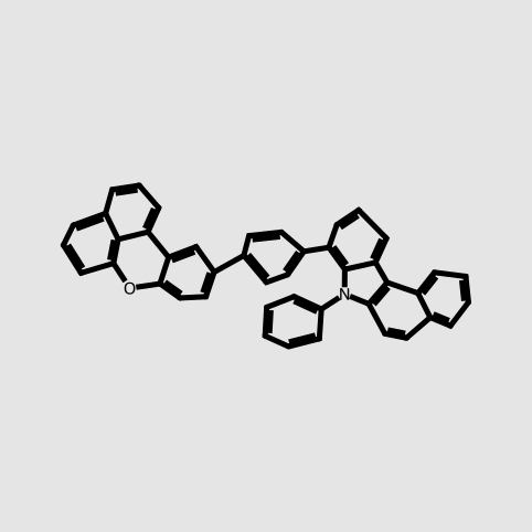 c1ccc(-n2c3ccc4ccccc4c3c3cccc(-c4ccc(-c5ccc6c(c5)-c5cccc7cccc(c57)O6)cc4)c32)cc1